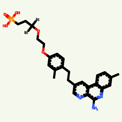 CCC(CC)(CCP(=O)(O)O)OCCOc1ccc(CCc2cnc3c(N)nc4cc(C)ccc4c3c2)c(C)c1